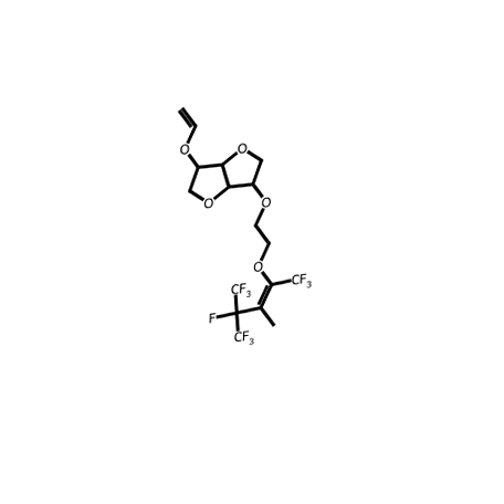 C=COC1COC2C(OCCO/C(=C(/C)C(F)(C(F)(F)F)C(F)(F)F)C(F)(F)F)COC12